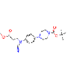 COC(=O)CCN(C#N)c1ccc(N2CCN(C(=O)OC(C)(C)C)CC2)cc1